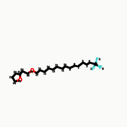 FC(F)(F)CCCCCCCCCCCCCCOCCC1CCCO1